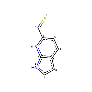 S=Cc1ccc2cc[nH]c2n1